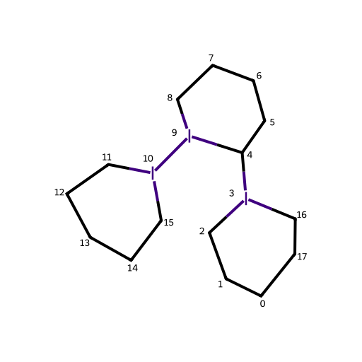 C1CCI(C2CCCCI2I2CCCCC2)CC1